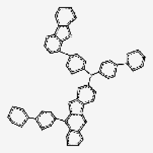 c1ccc(-c2ccc(-c3c4ccccc4cc4c3oc3cc(N(c5ccc(-c6ccccc6)cc5)c5ccc(-c6cccc7c6sc6ccccc67)cc5)ccc34)cc2)cc1